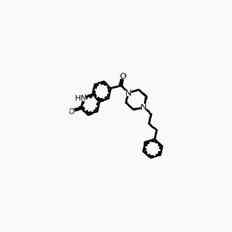 O=C(c1ccc2[nH]c(=O)ccc2c1)N1CCN(CCCc2ccccc2)CC1